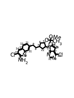 COC(C)(C)O[C@@H]1CC(CCc2ccc3cc(Cl)c(N)nc3c2)CC1n1ccc2c(Cl)ncnc21